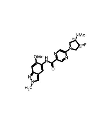 CN[C@@H]1CN(c2cnc(C(=O)Nc3cc4cn(C)nc4cc3OC)cn2)C[C@@H]1F